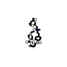 CC(/C=C/[C@@H]1C[C@]2(CO2)CC(C)(C)O1)=C\CC1CCC(NC(=O)/C=C\[C@H](C)OC(=O)N2CCN(CCO)CC2)CC1